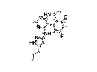 CCCc1cc(Nc2cc(NC(C)c3ccc(F)cc3F)ncn2)n[nH]1